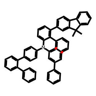 CC1(C)c2ccccc2-c2ccc(-c3cccc(N(c4ccc(-c5ccccc5-c5ccccc5)cc4)c4cccc(-c5ccccc5)c4)c3-c3ccccc3)cc21